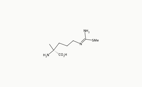 CSC(N)=NCCC[C@](C)(N)C(=O)O